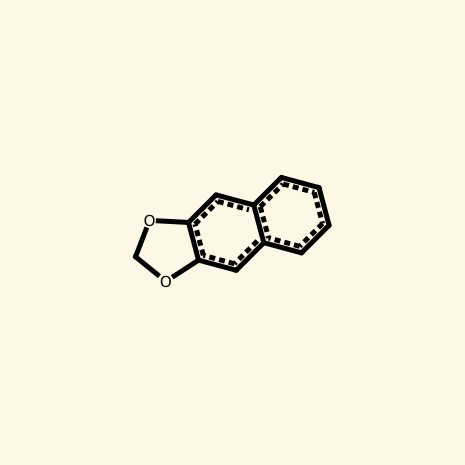 c1ccc2cc3c(cc2c1)OCO3